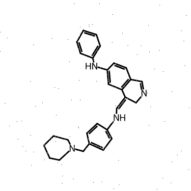 C1=NCC(=CNc2ccc(CN3CCCCC3)cc2)c2cc(Nc3ccccc3)ccc21